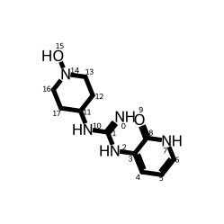 N=C(Nc1ccc[nH]c1=O)NC1CCN(O)CC1